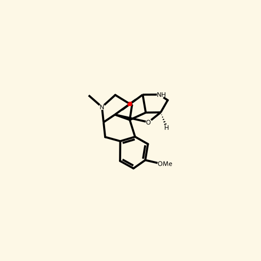 COc1ccc2c(c1)C13CCN(C)C(C2)C12CCC1NC[C@@H](O2)C13